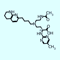 CC(=O)NCCN(CCCCc1ccc2c(n1)NCCC2)CC[C@H](Nc1ncc(C)cn1)C(=O)O